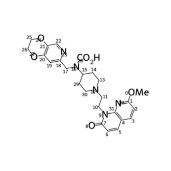 COc1ccc2ccc(=O)n(CCN3CCC(N(Cc4cc5c(cn4)OCCO5)C(=O)O)CC3)c2n1